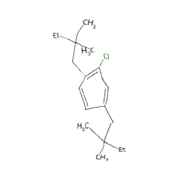 CCC(C)(C)Cc1ccc(CC(C)(C)CC)c(Cl)c1